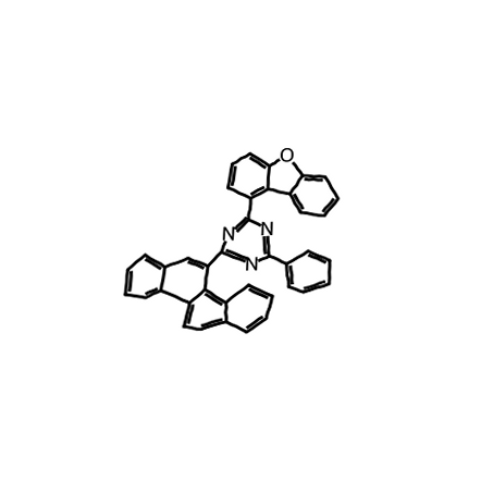 c1ccc(-c2nc(-c3cccc4oc5ccccc5c34)nc(-c3cc4ccccc4c4ccc5ccccc5c34)n2)cc1